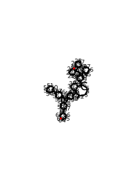 C=C1CCCCC/C(c2ccc([Si](c3ccccc3)(c3ccccc3)c3ccccc3)cc2)=C2/CCCC/C2=C/1c1ccc(N(c2ccc(-c3ccccc3)cc2)c2ccc(-c3ccccc3)cc2)cc1